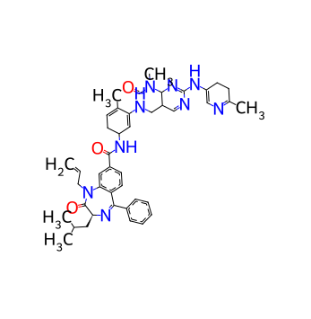 C=CCN1C(=O)[C@H](CC(C)C)N=C(c2ccccc2)c2ccc(C(=O)NC3C=C(NCC4C=NC(NC5=CN=C(C)CC5)=NC4N(C)C=O)C(C)=CC3)cc21